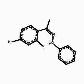 CC(=NNc1ccccc1)c1ccc(Br)cc1F